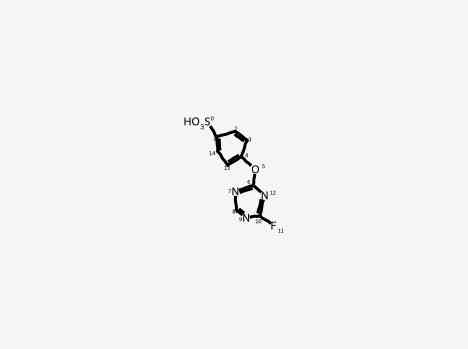 O=S(=O)(O)c1ccc(Oc2n[c]nc(F)n2)cc1